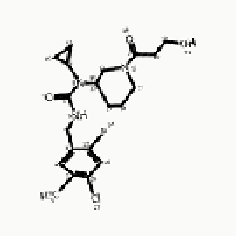 Cc1cc(CNC(=O)N(C2CC2)[C@@H]2CCCN(C(=O)CCO)C2)c(F)cc1Cl